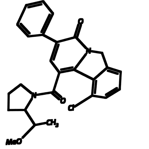 COC(C)C1CCCN1C(=O)c1cc(-c2ccccc2)c(=O)n2c1-c1c(Cl)cccc1C2